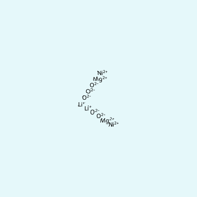 [Li+].[Li+].[Mg+2].[Mg+2].[Ni+2].[Ni+2].[O-2].[O-2].[O-2].[O-2].[O-2]